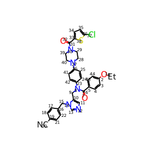 CCOc1ccc(C(=O)N(Cc2cncn2Cc2ccc(C#N)cc2)c2ccc(N3CCN(C(=O)c4ccc(Cl)s4)CC3)cc2)cc1